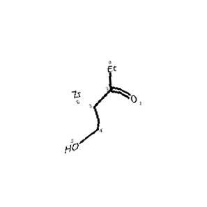 CCC(=O)CCO.[Zr]